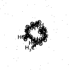 CCCCCC(CN(O)C=O)C(=O)NCNC(=O)c1ccc(-c2ccc(F)c(C(=O)O)c2F)o1.CCOc1cc(C(=O)O)cc(-c2ccc(C(=O)NCNC(=O)CCN(O)C=O)o2)c1